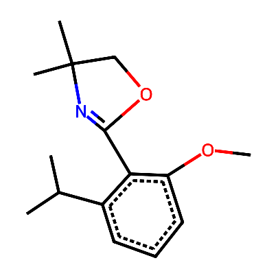 COc1cccc(C(C)C)c1C1=NC(C)(C)CO1